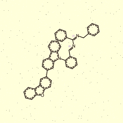 C(=N\C(=N/Cc1ccccc1)c1ccccc1)/c1ccccc1-n1c2ccccc2c2ccc(-c3ccc4oc5ccccc5c4c3)cc21